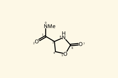 CNC(=O)C1COC(=O)N1